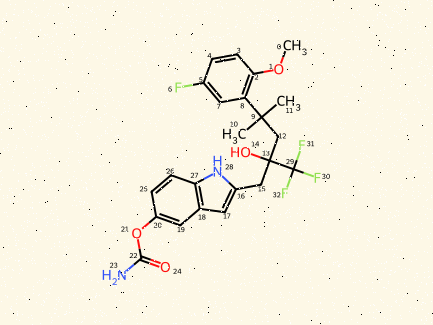 COc1ccc(F)cc1C(C)(C)CC(O)(Cc1cc2cc(OC(N)=O)ccc2[nH]1)C(F)(F)F